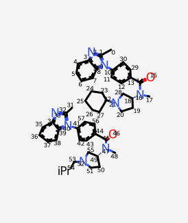 Cc1nc2ccccc2n1-c1ccc(C(=O)N(C)[C@@H]2CCN(C3CCCCC3)C2)cc1.Cc1nc2ccccc2n1-c1ccc(C(=O)N(C)[C@@H]2CCN(CC(C)C)C2)cc1